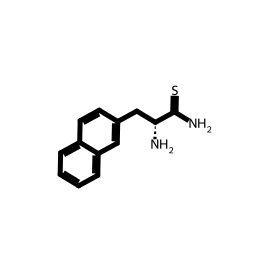 NC(=S)[C@H](N)Cc1ccc2ccccc2c1